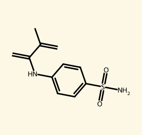 C=C(C)C(=C)Nc1ccc(S(N)(=O)=O)cc1